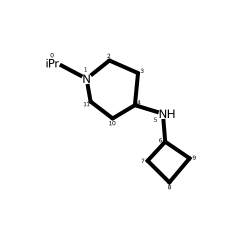 CC(C)N1CCC(NC2CCC2)CC1